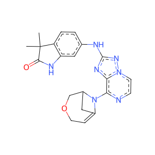 CC1(C)C(=O)Nc2cc(Nc3nc4c(N5C6=CCOCC5C6)nccn4n3)ccc21